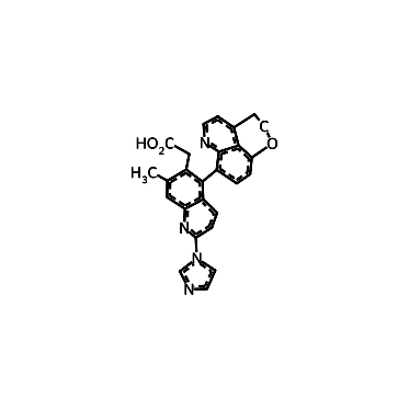 Cc1cc2nc(-n3ccnc3)ccc2c(-c2ccc3c4c(ccnc24)CCO3)c1CC(=O)O